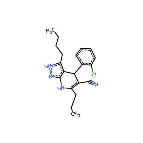 CCCCc1[nH]nc2c1C(c1ccccc1Cl)C(C#N)=C(CCC)N2